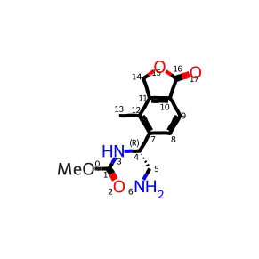 COC(=O)N[C@@H](CN)c1ccc2c(c1C)COC2=O